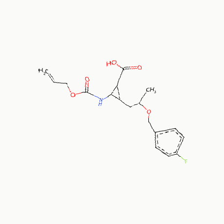 C=CCOC(=O)NC1C(CC(C)OCc2ccc(F)cc2)C1C(=O)O